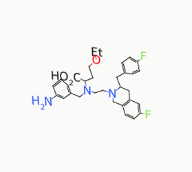 CCOCCC(C(=O)O)N(CCN1Cc2ccc(F)cc2CC1Cc1ccc(F)cc1)Cc1cccc(N)c1